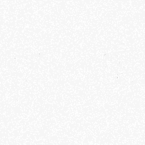 Cc1ncsc1-c1ccc(CNC(=O)[C@@H]2C[C@@H](O)CN2C(=O)[C@@H](NC(=O)COCCOCCOCCOCCc2ccc(CO[C@H](C)[C@H](CCC(N)=O)NC(=O)[C@@H]3Cc4cccc5c4N3C(=O)[C@@H](N)CC5)cc2)C(C)(C)C)cc1